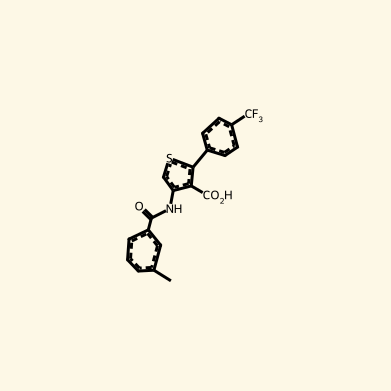 Cc1cccc(C(=O)Nc2csc(-c3ccc(C(F)(F)F)cc3)c2C(=O)O)c1